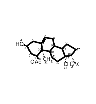 CC(=O)OC1C[C@@H](O)CC2=CCC3C(CC[C@@]4(C)C3CC[C@@H]4C(C)=O)[C@]21C